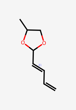 C=C/C=C/C1OCC(C)O1